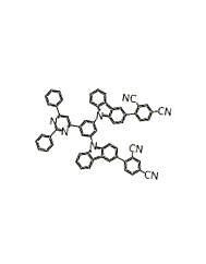 N#Cc1ccc(-c2ccc3c(c2)c2ccccc2n3-c2cc(-c3cc(-c4ccccc4)nc(-c4ccccc4)n3)cc(-n3c4ccccc4c4cc(-c5ccc(C#N)cc5C#N)ccc43)c2)c(C#N)c1